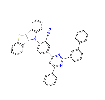 N#Cc1cc(-c2nc(-c3ccccc3)nc(-c3cccc(-c4ccccc4)c3)n2)ccc1N1c2ccccc2C2Sc3ccccc3C21